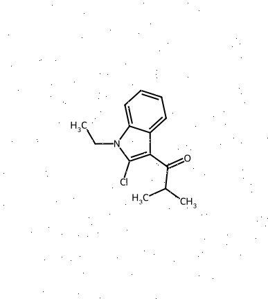 CCn1c(Cl)c(C(=O)C(C)C)c2ccccc21